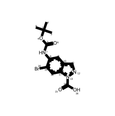 CC(C)(C)OC(=O)Nc1cc2cnn(C(=O)O)c2cc1Br